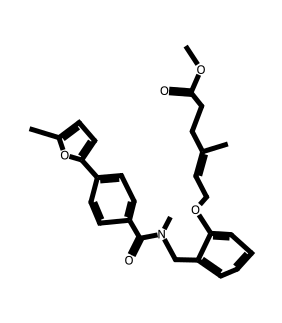 COC(=O)CC/C(C)=C/COc1ccccc1CN(C)C(=O)c1ccc(-c2ccc(C)o2)cc1